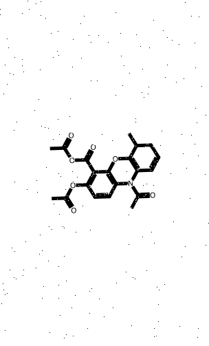 CC(=O)OC(=O)c1c(OC(C)=O)ccc2c1OC1=C(C=CCC1C)N2C(C)=O